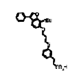 CCCCc1c(OCCCSc2cccc(CCC(=O)O)c2)ccc2c(-c3ccccc3)coc12